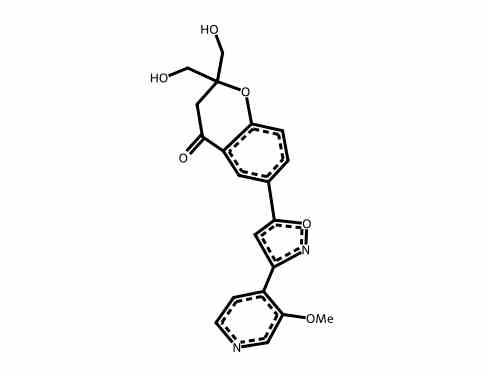 COc1cnccc1-c1cc(-c2ccc3c(c2)C(=O)CC(CO)(CO)O3)on1